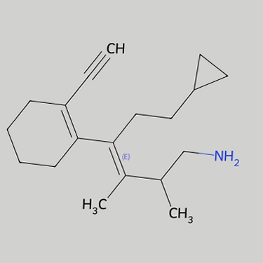 C#CC1=C(/C(CCC2CC2)=C(\C)C(C)CN)CCCC1